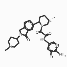 CCc1cc(NC(=O)C(=O)N2C[C@@H](C)CCC2c2ccc3c(c2)C(=O)N(C2CCN(C)CC2)C3)cnc1N